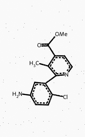 COC(=O)c1ccnc(-c2cc(N)ccc2Cl)c1C